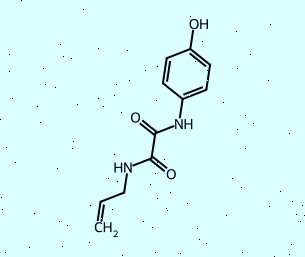 C=CCNC(=O)C(=O)Nc1ccc(O)cc1